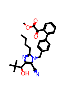 CCCCc1nc(C(O)C(C)(C)C)c(C#N)n1Cc1ccc(-c2ccccc2C(=O)C(=O)OC)cc1